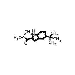 CN(C)C(=O)c1cc2cc(C(C)(C)C)ccc2[nH]1